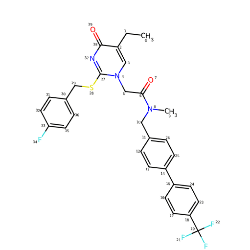 CCc1cn(CC(=O)N(C)Cc2ccc(-c3ccc(C(F)(F)F)cc3)cc2)c(SCc2ccc(F)cc2)nc1=O